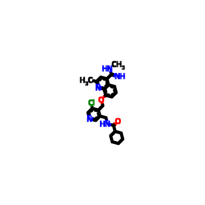 CNC(=N)c1cc(C)nc2c(OCc3c(Cl)cncc3CNC(=O)C3CCCCC3)cccc12